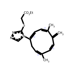 C=C1/C=C\C(C)=C/C/C(n2cnnc2SCC(=O)OCC)=C\C=C/1C